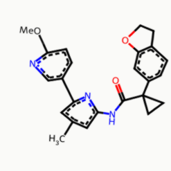 COc1ccc(-c2cc(C)cc(NC(=O)C3(c4ccc5c(c4)OCC5)CC3)n2)cn1